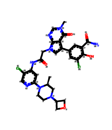 C[C@H]1CN(C2COC2)CCN1c1cc(NC(=O)Cn2cc(-c3cc(Cl)c(O)c(C(N)=O)c3)c3c(=O)n(C)cnc32)c(Cl)cn1